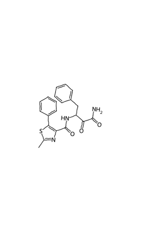 Cc1nc(C(=O)NC(Cc2ccccc2)C(=O)C(N)=O)c(-c2ccccc2)s1